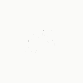 CCc1ccc(N(C=O)OCC2(C(=O)NCc3ccccc3Cl)CCC2)cc1